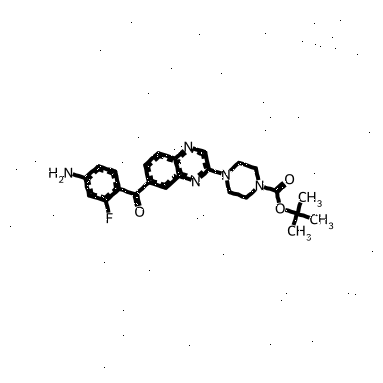 CC(C)(C)OC(=O)N1CCN(c2cnc3ccc(C(=O)c4ccc(N)cc4F)cc3n2)CC1